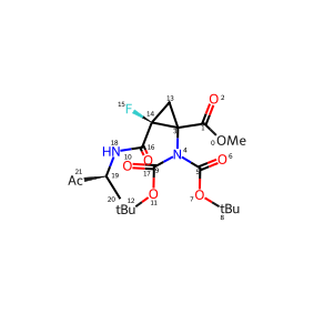 COC(=O)C1(N(C(=O)OC(C)(C)C)C(=O)OC(C)(C)C)C[C@@]1(F)C(=O)N[C@@H](C)C(C)=O